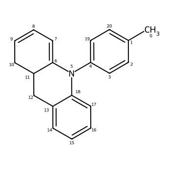 Cc1ccc(N2C3=CC=CCC3Cc3ccccc32)cc1